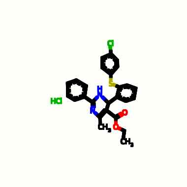 CCOC(=O)C1=C(C)N=C(c2ccccc2)NC1c1ccccc1Sc1ccc(Cl)cc1.Cl